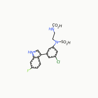 O=C(O)NCCN(c1cc(Cl)cc(-c2c[nH]c3cc(F)ccc23)c1)S(=O)(=O)O